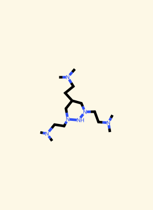 CN(C)CCC1CN(CCN(C)C)NN(CCN(C)C)C1